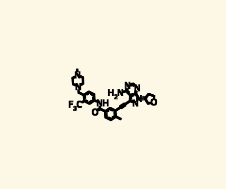 Cc1ccc(C(=O)Nc2ccc(CN3CCN(C)CC3)c(C(F)(F)F)c2)cc1C#Cc1nn([C@@H]2CCOC2)c2ncnc(N)c12